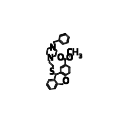 COC(=O)c1ccc2c(c1)C(SCCN1CCN(Cc3ccccc3)CC1)c1ccccc1CO2